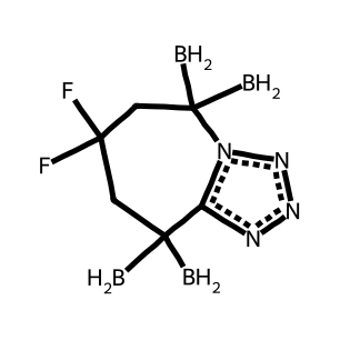 BC1(B)CC(F)(F)CC(B)(B)n2nnnc21